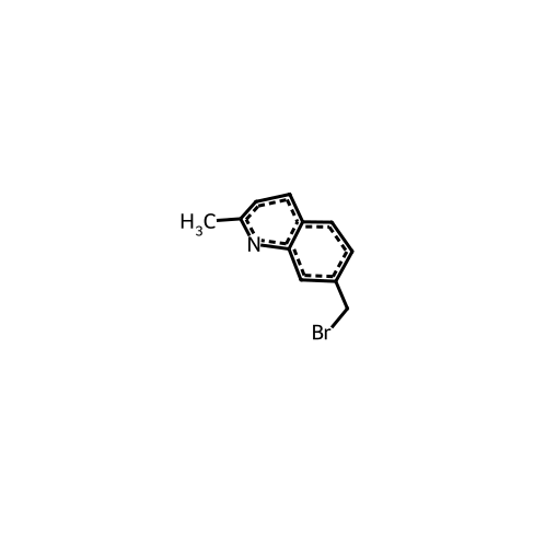 Cc1ccc2ccc(CBr)cc2n1